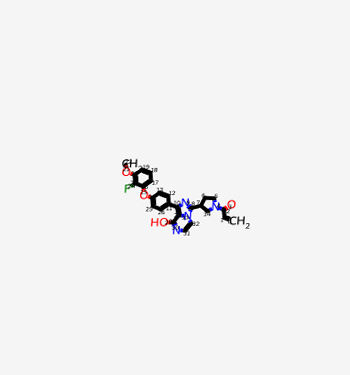 C=CC(=O)N1CCC(c2nc(-c3ccc(Oc4cccc(OC)c4F)cc3)c3c(O)nccn23)C1